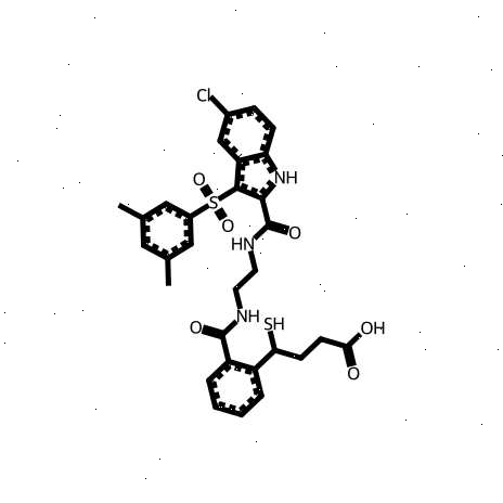 Cc1cc(C)cc(S(=O)(=O)c2c(C(=O)NCCNC(=O)c3ccccc3C(S)CCC(=O)O)[nH]c3ccc(Cl)cc23)c1